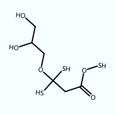 O=C(CC(S)(S)OCC(O)CO)OS